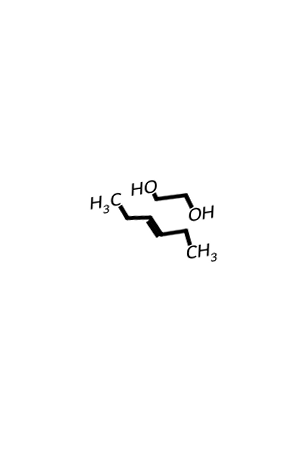 CC/C=C/CC.OCCO